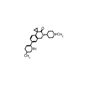 CC1CC=C(c2ccc3c(c2)CN(C2CCN(C)CC2)C(=O)C32CC2)NC1